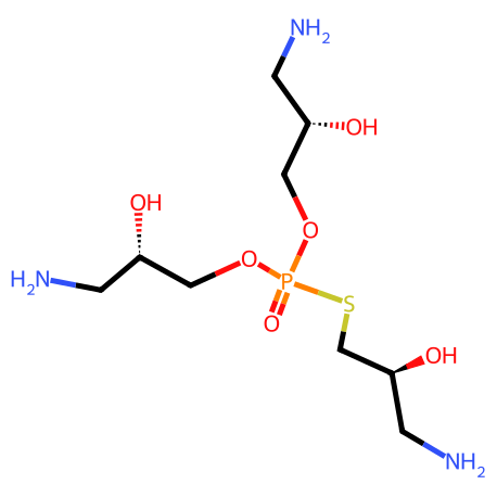 NC[C@H](O)COP(=O)(OC[C@@H](O)CN)SC[C@@H](O)CN